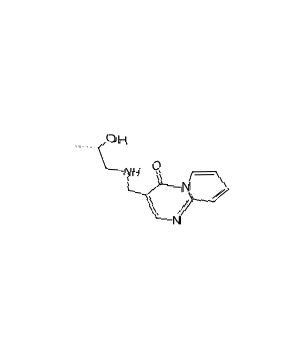 C[C@H](O)CNCc1cnc2ccccn2c1=O